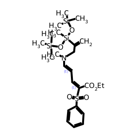 C=C(CN(C)/C=C/C=C(\C(=O)OCC)S(=O)(=O)c1ccccc1)[Si](C)(O[Si](C)(C)C)O[Si](C)(C)C